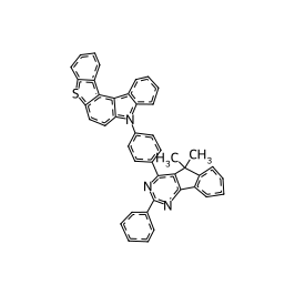 CC1(C)c2ccccc2-c2nc(-c3ccccc3)nc(-c3ccc(-n4c5ccccc5c5c6c(ccc54)sc4ccccc46)cc3)c21